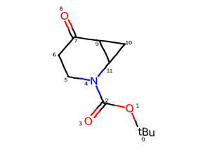 CC(C)(C)OC(=O)N1CCC(=O)C2CC21